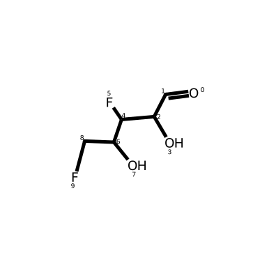 O=CC(O)C(F)C(O)CF